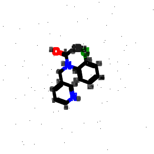 CC(C)(C)C(=O)N(Cc1cccnc1)c1ccccc1Cl